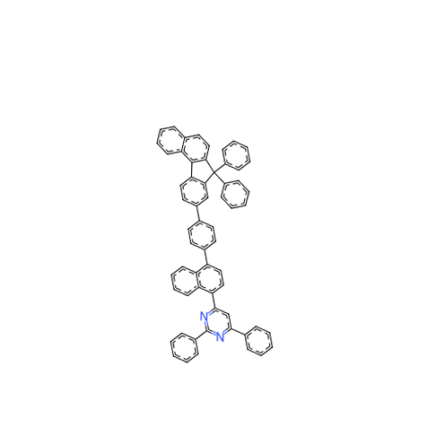 c1ccc(-c2cc(-c3ccc(-c4ccc(-c5ccc6c(c5)C(c5ccccc5)(c5ccccc5)c5ccc7ccccc7c5-6)cc4)c4ccccc34)nc(-c3ccccc3)n2)cc1